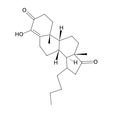 CCCCC1CC(=O)[C@@]2(C)CC[C@@H]3[C@@H](CCC4=C(O)C(=O)CC[C@@]43C)[C@H]12